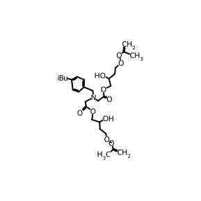 C=C(C)OOCCC(O)COC(=O)CN(CC(=O)OCC(O)CCOOC(=C)C)Cc1ccc(C(C)CC)cc1